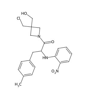 Cc1ccc(CC(Nc2ccccc2[N+](=O)[O-])C(=O)N2CC(CO)(CCl)C2)cc1